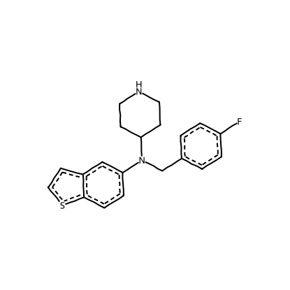 Fc1ccc(CN(c2ccc3sccc3c2)C2CCNCC2)cc1